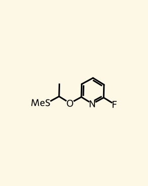 CSC(C)Oc1cccc(F)n1